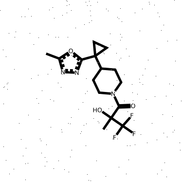 Cc1nnc(C2(C3CCN(C(=O)C(C)(O)C(F)(F)F)CC3)CC2)o1